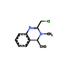 CN1C(CCl)=Nc2ccccc2C1C=O